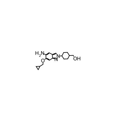 Nc1cc2cn(C3CCC(CO)CC3)nc2cc1OCC1CC1